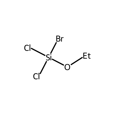 CCO[Si](Cl)(Cl)Br